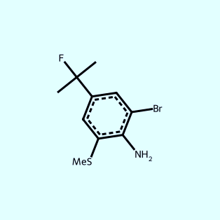 CSc1cc(C(C)(C)F)cc(Br)c1N